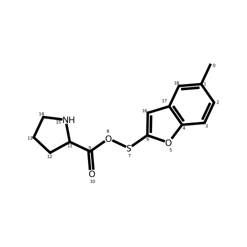 Cc1ccc2oc(SOC(=O)C3CCCN3)cc2c1